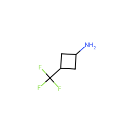 NC1CC(C(F)(F)F)C1